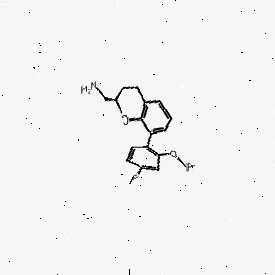 CC(C)Oc1cc(F)ccc1-c1cccc2c1O[C@@H](CN)CC2